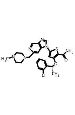 C[C@@H](Oc1cc(-n2cnc3cnc(CN4CCN(C)CC4)cc32)sc1C(N)=O)c1ccccc1Cl